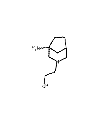 NC12CCC(CN(CCO)C1)C2